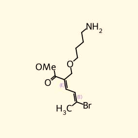 COC(=O)/C(=C/C=C(\C)Br)COCCCCN